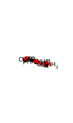 Nc1ncc(OCC(=O)NC23CC(NC(=O)COc4ccc(Cl)c(F)c4)(C2)C3)cc1Cl